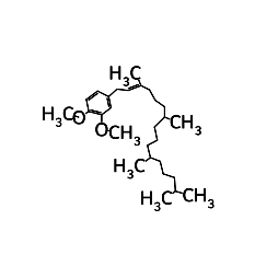 COc1ccc(C/C=C(\C)CCCC(C)CCCC(C)CCCC(C)C)cc1OC